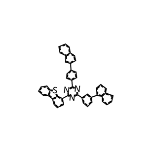 c1cc(-c2nc(-c3ccc(-c4ccc5ccccc5c4)cc3)nc(-c3cccc4c3sc3ccccc34)n2)cc(-c2cccc3ccccc23)c1